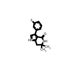 CC1(C)Cc2[nH]cc(-c3cccc(F)c3)c2C(=O)N1